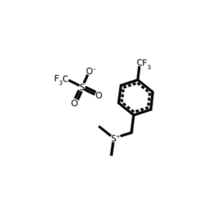 C[S+](C)Cc1ccc(C(F)(F)F)cc1.O=S(=O)([O-])C(F)(F)F